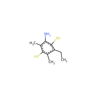 CCc1c(C)c(S)c(C)c(N)c1S